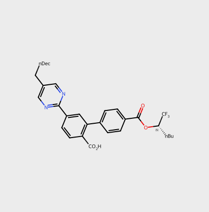 CCCCCCCCCCCc1cnc(-c2ccc(C(=O)O)c(-c3ccc(C(=O)O[C@@H](CCCC)C(F)(F)F)cc3)c2)nc1